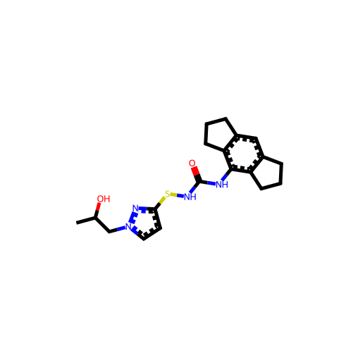 CC(O)Cn1ccc(SNC(=O)Nc2c3c(cc4c2CCC4)CCC3)n1